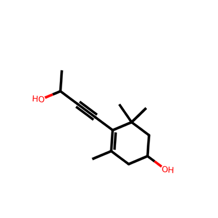 CC1=C(C#CC(C)O)C(C)(C)CC(O)C1